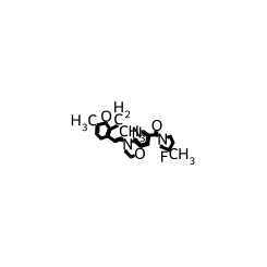 C=CC1=C(/C=C(\C)N2CCOc3cc(C(=O)N4CCC(C)(F)C4)cnc32)CC=C(C)C1=O